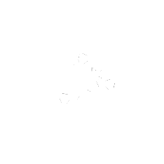 O=C(NCc1ccnc(Cl)c1)n1c2c(c3cccc(Cl)c31)CN(CC=Cc1ccc(Cl)c(Cl)c1)CC2